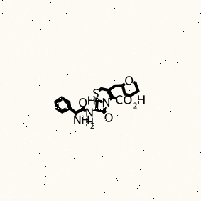 N[C@H](C(=O)N[C@@H]1C(=O)N2C(C(=O)O)=C(CC3CCCCO3)CS[C@@H]12)c1ccccc1